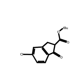 CC(C)(C)OC(=O)C1Cc2cc(Cl)ccc2C1=O